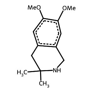 COc1cc2c(cc1OC)CC(C)(C)NC2